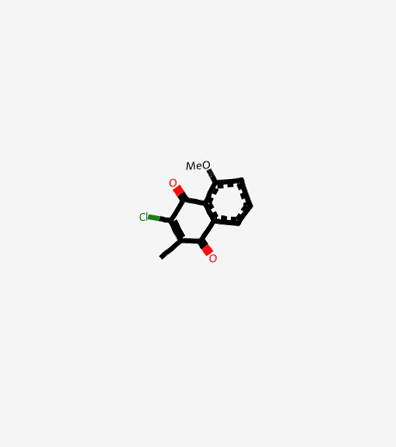 COc1cccc2c1C(=O)C(Cl)=C(C)C2=O